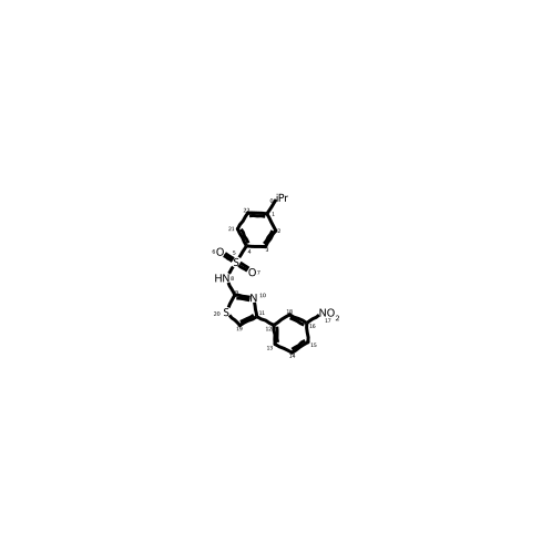 CC(C)c1ccc(S(=O)(=O)Nc2nc(-c3cccc([N+](=O)[O-])c3)cs2)cc1